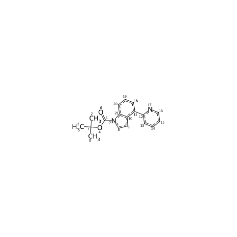 CC(C)(C)OC(=O)n1ccc2c(-c3ccccn3)cccc21